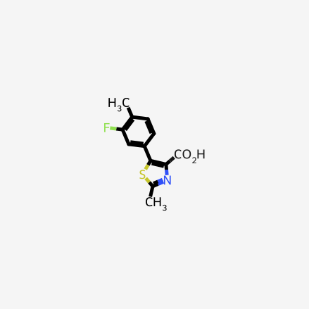 Cc1nc(C(=O)O)c(-c2ccc(C)c(F)c2)s1